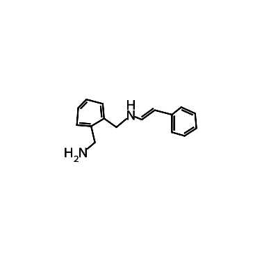 NCc1ccccc1CNC=Cc1ccccc1